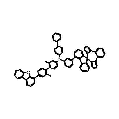 Cc1cc(-c2cccc3c2oc2ccccc23)ccc1-c1ccc(N(c2ccc(-c3ccccc3)cc2)c2cccc(-c3cccc4c3-c3ccccc3C43c4ccccc4-c4ccccc4-c4ccccc43)c2)cc1C